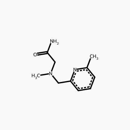 Cc1cccc(CN(C)CC(N)=O)n1